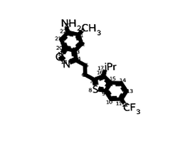 Cc1cc2c(CCc3sc4cc(C(F)(F)F)ccc4c3C(C)C)noc2cc1N